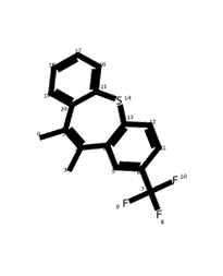 CC1=C(C)c2cc(C(F)(F)F)ccc2Sc2ccccc21